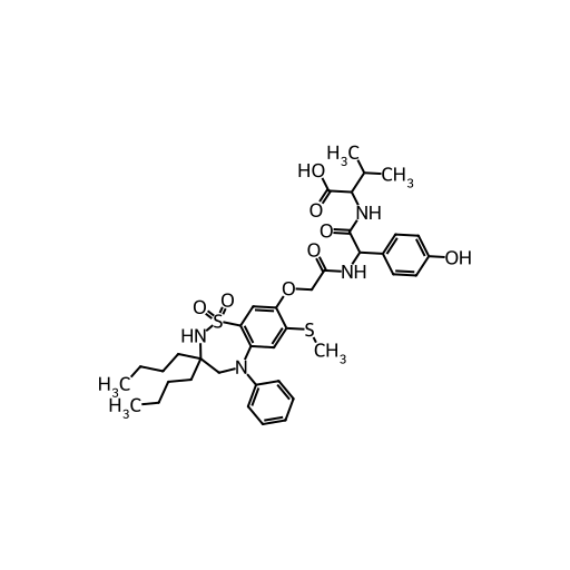 CCCCC1(CCCC)CN(c2ccccc2)c2cc(SC)c(OCC(=O)NC(C(=O)NC(C(=O)O)C(C)C)c3ccc(O)cc3)cc2S(=O)(=O)N1